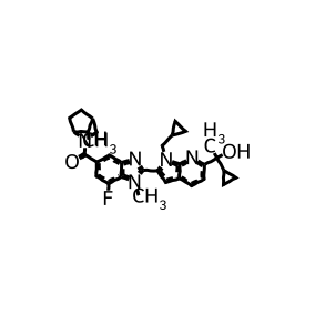 C[C@@H]1C2CCC1N(C(=O)c1cc(F)c3c(c1)nc(-c1cc4ccc(C(C)(O)C5CC5)nc4n1CC1CC1)n3C)C2